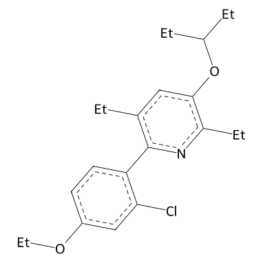 CCOc1ccc(-c2nc(CC)c(OC(CC)CC)cc2CC)c(Cl)c1